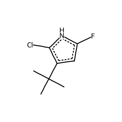 CC(C)(C)c1cc(F)[nH]c1Cl